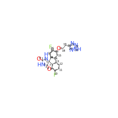 O=C1NC(=O)C2(N1)c1cc(F)ccc1-c1cc(OCCc3nn[nH]n3)c(F)cc12